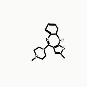 Cc1cc2c(s1)NC1CC=CC=C1N=C2N1CCN(C)CC1